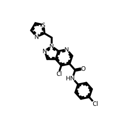 O=C(Nc1ccc(Cl)cc1)c1cnc2c(cnn2Cc2nccs2)c1Cl